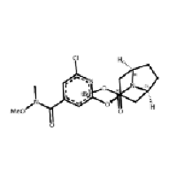 CON(C)C(=O)c1cc(Cl)nc(O[C@H]2C[C@H]3CC[C@@H](C2)N3C(=O)OC(C)(C)C)c1